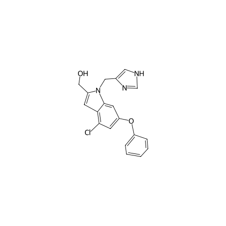 OCc1cc2c(Cl)cc(Oc3ccccc3)cc2n1Cc1c[nH]cn1